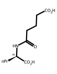 CCC[C@@H](NC(=O)CCCC(=O)O)C(=O)O